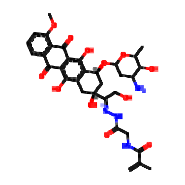 C=C(C)C(=O)NCC(=O)N/N=C(\CO)[C@]1(O)Cc2c(O)c3c(c(O)c2[C@@H](OC2CC(N)C(O)C(C)O2)C1)C(=O)c1c(OC)cccc1C3=O